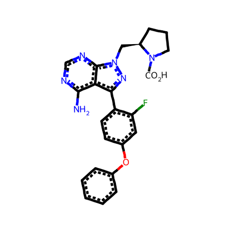 Nc1ncnc2c1c(-c1ccc(Oc3ccccc3)cc1F)nn2C[C@H]1CCCN1C(=O)O